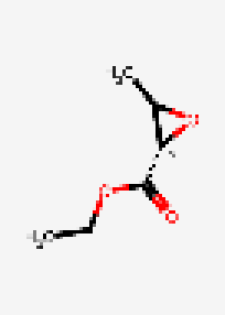 CCOC(=O)[C@H]1OC1C